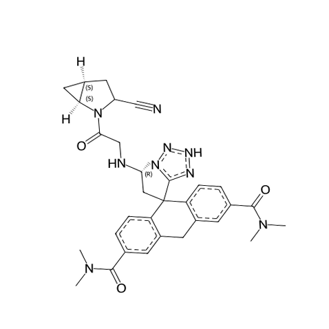 C[C@H](CC1(c2nn[nH]n2)c2ccc(C(=O)N(C)C)cc2Cc2cc(C(=O)N(C)C)ccc21)NCC(=O)N1C(C#N)C[C@@H]2C[C@@H]21